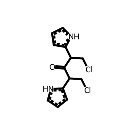 O=C(C(CCl)c1ccc[nH]1)C(CCl)c1ccc[nH]1